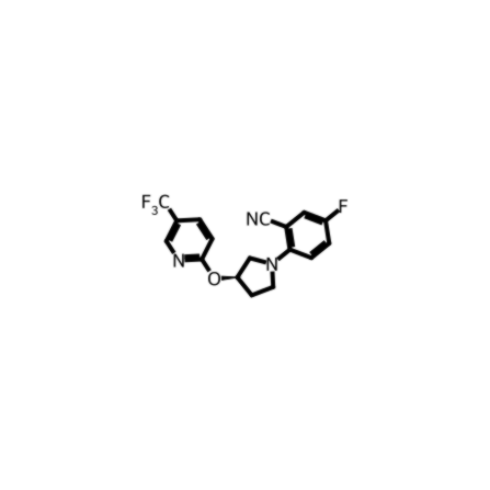 N#Cc1cc(F)ccc1N1CC[C@@H](Oc2ccc(C(F)(F)F)cn2)C1